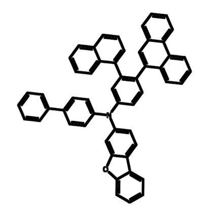 c1ccc(-c2ccc(N(c3ccc(-c4cc5ccccc5c5ccccc45)c(-c4cccc5ccccc45)c3)c3ccc4c(c3)oc3ccccc34)cc2)cc1